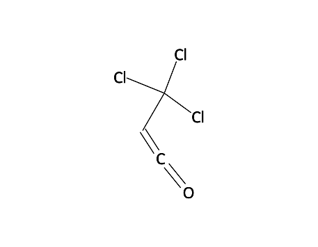 O=C=CC(Cl)(Cl)Cl